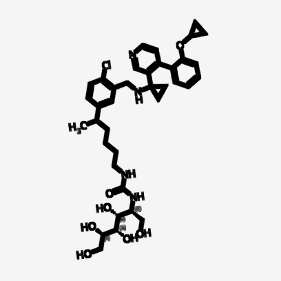 CC(CCCCNC(=O)N[C@@H](CO)[C@@H](O)[C@H](O)[C@H](O)CO)c1ccc(Cl)c(CNC2(c3cnccc3-c3ccccc3OC3CC3)CC2)c1